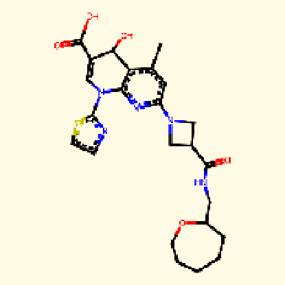 Cc1cc(N2CC(C(=O)NCC3CCCCCO3)C2)nc2c1C(O)C(C(=O)O)=CN2c1nccs1